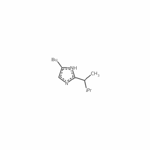 CCC(C)c1cnc(C(C)C(C)C)[nH]1